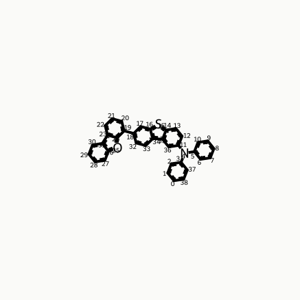 c1ccc(N(c2ccccc2)c2ccc3sc4cc(-c5cccc6c5oc5ccccc56)ccc4c3c2)cc1